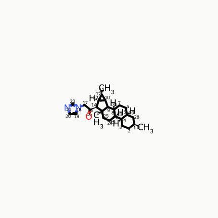 C[C@H]1CC[C@H]2[C@H](CC[C@H]3C4C5[C@H]([C@H]5C)[C@H](C(=O)Cn5ccnc5)[C@@]4(C)CC[C@H]23)C1